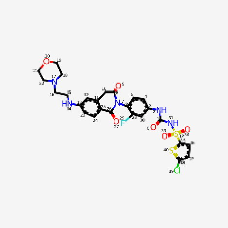 O=C(Nc1ccc(N2C(=O)Cc3cc(NCCN4CCOCC4)ccc3C2=O)c(F)c1)NS(=O)(=O)c1ccc(Cl)s1